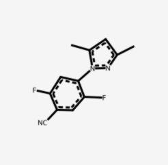 Cc1cc(C)n(-c2cc(F)c(C#N)cc2F)n1